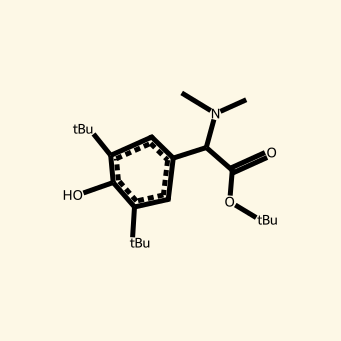 CN(C)C(C(=O)OC(C)(C)C)c1cc(C(C)(C)C)c(O)c(C(C)(C)C)c1